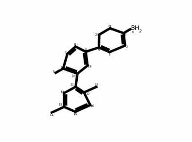 BC1=CC=C(c2ccc(C)c(-c3cc(C)ccc3C)c2)CC1